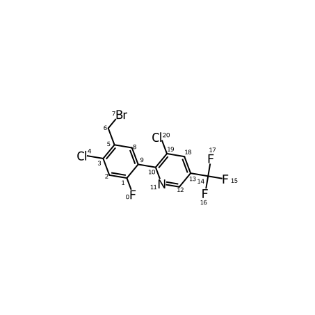 Fc1cc(Cl)c(CBr)cc1-c1ncc(C(F)(F)F)cc1Cl